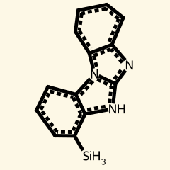 [SiH3]c1cccc2c1[nH]c1nc3ccccc3n12